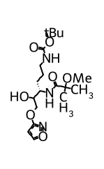 COC(C)(C)C(=O)N[C@@H](CCCNC(=O)OC(C)(C)C)C(O)COc1ccon1